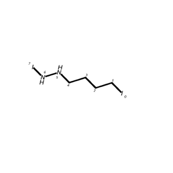 ICCCCNNI